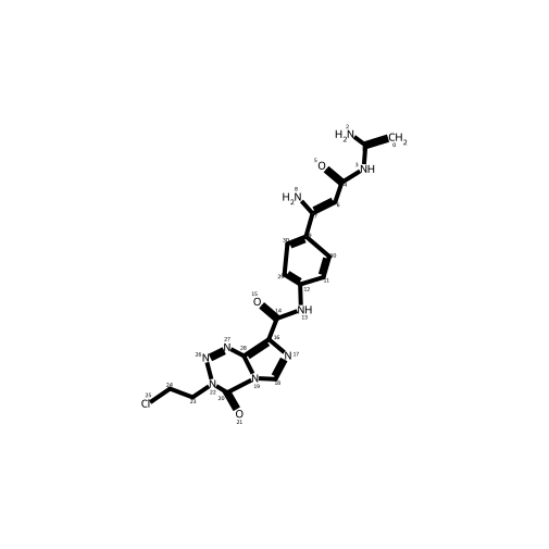 C=C(N)NC(=O)/C=C(\N)c1ccc(NC(=O)c2ncn3c(=O)n(CCCl)nnc23)cc1